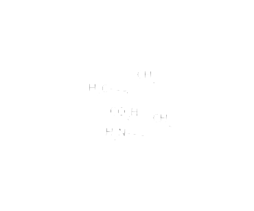 C=C(C)C(=O)O.C=CN